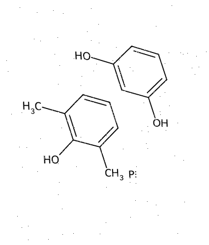 Cc1cccc(C)c1O.Oc1cccc(O)c1.[P]